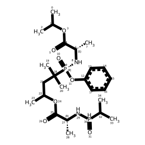 CC(C)OC(=O)[C@H](C)N[P@](=O)(Oc1ccccc1)C(C)(C)CC(C)OC(=O)[C@@H](C)N[PH](=O)C(C)C